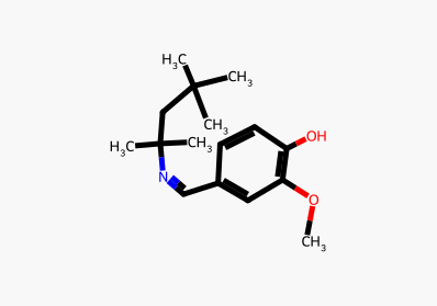 COc1cc(/C=N\C(C)(C)CC(C)(C)C)ccc1O